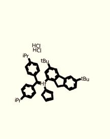 CC(C)c1ccc([C](c2ccc(C(C)C)cc2)=[Hf]([C]2=CC=CC2)[c]2cc(C(C)(C)C)cc3c2Cc2ccc(C(C)(C)C)cc2-3)cc1.Cl.Cl